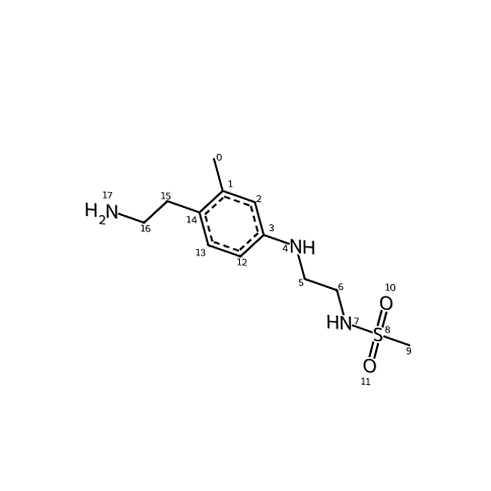 Cc1cc(NCCNS(C)(=O)=O)ccc1CCN